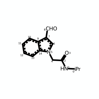 CC(C)NC(=O)Cn1cc(C=O)c2ccccc21